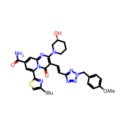 COc1ccc(Cn2nnc(C=Cc3c(N4CCC[C@H](O)C4)nc4cc(C(N)=O)cc(-c5nc(C(C)(C)C)cs5)n4c3=O)n2)cc1